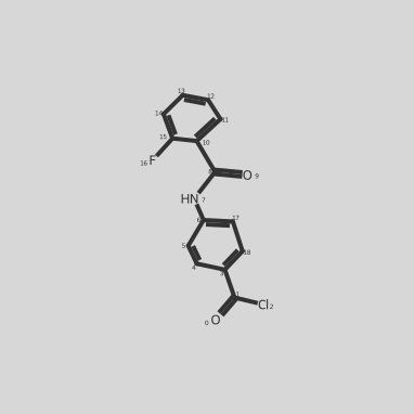 O=C(Cl)c1ccc(NC(=O)c2ccccc2F)cc1